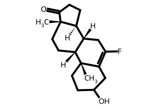 C[C@]12CCC(O)CC1=C(F)C[C@@H]1[C@H]2CC[C@]2(C)C(=O)CC[C@@H]12